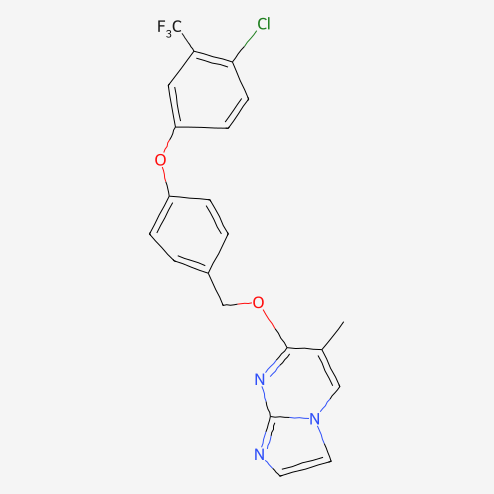 Cc1cn2ccnc2nc1OCc1ccc(Oc2ccc(Cl)c(C(F)(F)F)c2)cc1